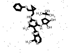 Cc1nc(NCC2(COc3ccccc3)CC2)nc(N[C@@H]2C[C@H](C(C)(C)O)[C@@H](O)[C@H]2O)c1-c1nc2c(C)nccc2s1